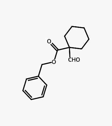 O=CC1(C(=O)OCc2ccccc2)CCCCC1